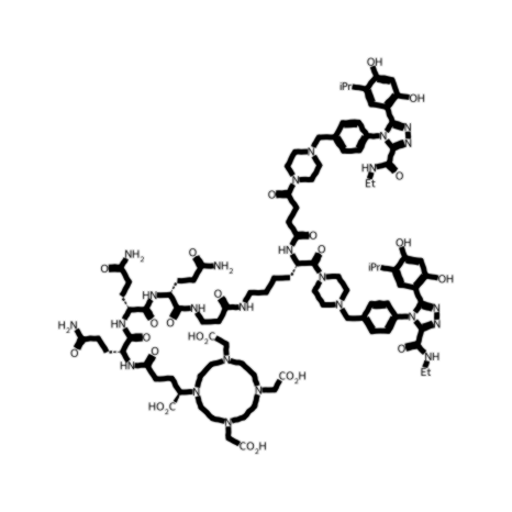 CCNC(=O)c1nnc(-c2cc(C(C)C)c(O)cc2O)n1-c1ccc(CN2CCN(C(=O)CCC(=O)N[C@@H](CCCCNC(=O)CCNC(=O)[C@@H](CCC(N)=O)NC(=O)[C@@H](CCC(N)=O)NC(=O)[C@@H](CCC(N)=O)NC(=O)CC[C@H](C(=O)O)N3CCN(CC(=O)O)CCN(CC(=O)O)CCN(CC(=O)O)CC3)C(=O)N3CCN(Cc4ccc(-n5c(C(=O)NCC)nnc5-c5cc(C(C)C)c(O)cc5O)cc4)CC3)CC2)cc1